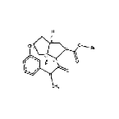 Cc1cccc(N(C)C(=O)[C@@H]2[C@H]3CCC[C@H]3CN2C(=O)OC(C)(C)C)c1